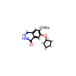 COc1cc2cn[nH]c(=O)c2cc1OC1CCCC1